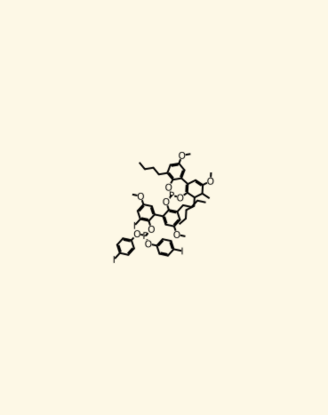 CCCCc1cc(OC)cc(-c2cc(OC)cc(I)c2OP(Oc2ccc(I)cc2)Oc2ccc(I)cc2)c1Op1oc2c(c3cc(OC)cc(CCCC)c3o1)C=C(OC)C(C)C2CCCC